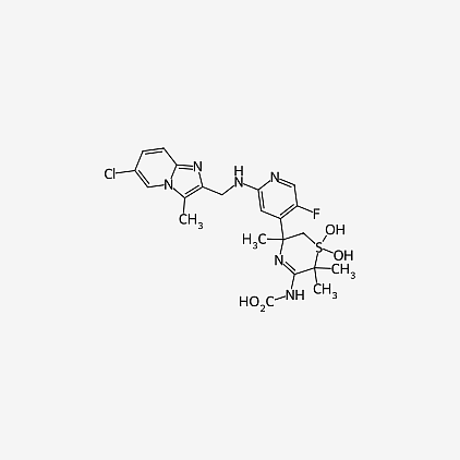 Cc1c(CNc2cc(C3(C)CS(O)(O)C(C)(C)C(NC(=O)O)=N3)c(F)cn2)nc2ccc(Cl)cn12